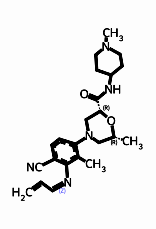 C=C/C=N\c1c(C#N)ccc(N2C[C@@H](C)O[C@@H](C(=O)NC3CCN(C)CC3)C2)c1C